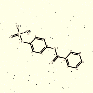 O=C(Oc1ccc(OP(=O)(O)O)cc1)c1ccccc1